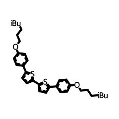 CCC(C)CCCOc1ccc(-c2ccc(-c3ccc(-c4ccc(OCCCC(C)CC)cc4)s3)s2)cc1